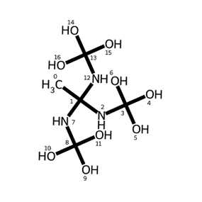 CC(NC(O)(O)O)(NC(O)(O)O)NC(O)(O)O